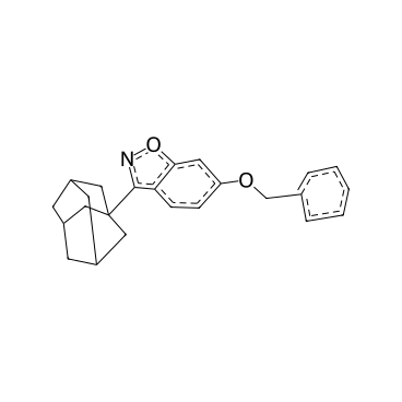 c1ccc(COc2ccc3c(C45CC6CC(CC(C6)C4)C5)noc3c2)cc1